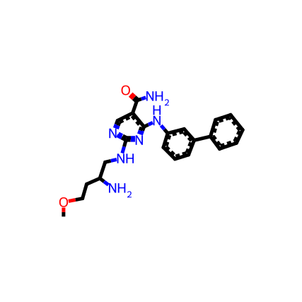 COCCC(N)CNc1ncc(C(N)=O)c(Nc2cccc(-c3ccccc3)c2)n1